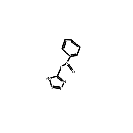 O=S(Oc1nnn[nH]1)c1ccccc1